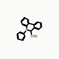 O=CC1c2ccccc2-c2ccccc2N1c1ccccc1